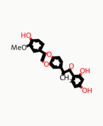 C=C(C(=O)c1ccc(O)cc1O)c1ccc2c(c1)OC=C(c1ccc(O)c(OC)c1)O2